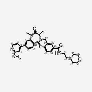 C[C@@H]1C(=O)N(C)c2cc(-c3ccnc(N)c3)ccc2C(=O)N1Cc1cccc(C(=O)NCCN2CCOCC2)c1